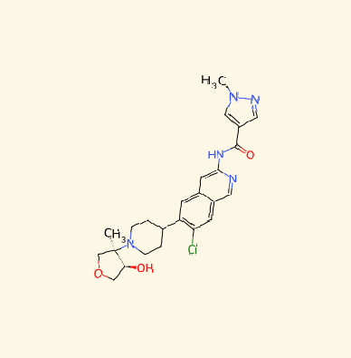 Cn1cc(C(=O)Nc2cc3cc(C4CCN([C@]5(C)COC[C@@H]5O)CC4)c(Cl)cc3cn2)cn1